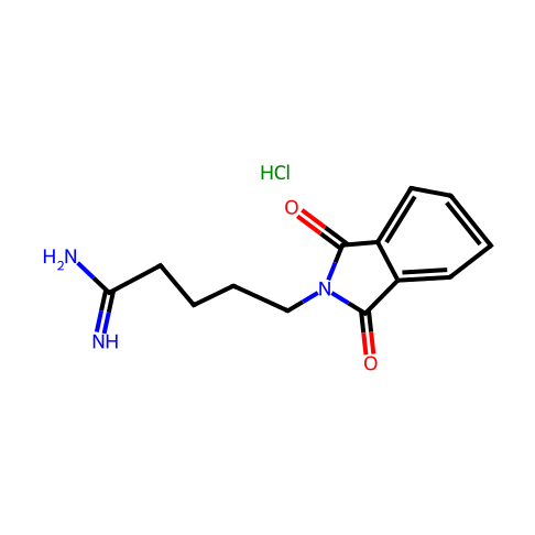 Cl.N=C(N)CCCCN1C(=O)c2ccccc2C1=O